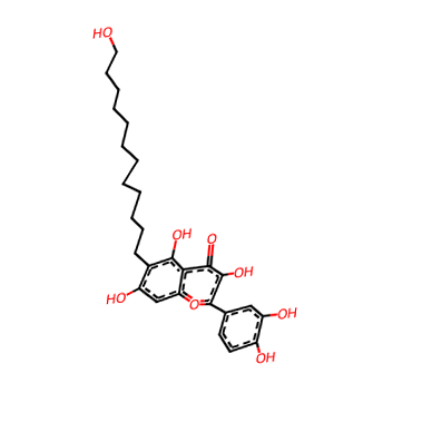 O=c1c(O)c(-c2ccc(O)c(O)c2)oc2cc(O)c(CCCCCCCCCCCCO)c(O)c12